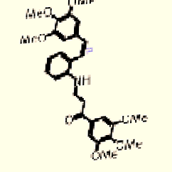 COc1cc(/C=C\c2ccccc2NCCC(=O)c2cc(OC)c(OC)c(OC)c2)cc(OC)c1OC